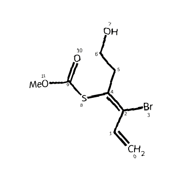 C=C/C(Br)=C(/CCO)SC(=O)OC